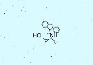 CC(NC(C1CC1)C1CC1)C12CC(c3ccccc31)c1ccccc12.Cl